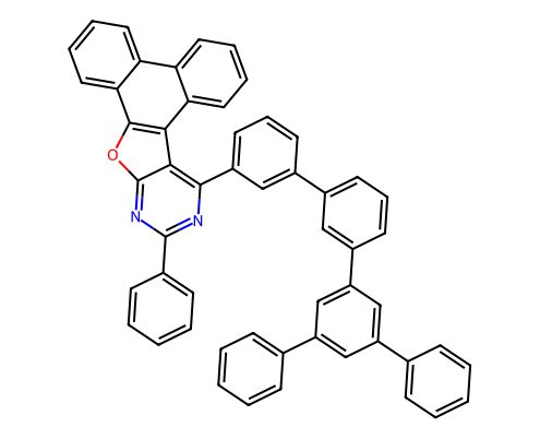 c1ccc(-c2cc(-c3ccccc3)cc(-c3cccc(-c4cccc(-c5nc(-c6ccccc6)nc6oc7c8ccccc8c8ccccc8c7c56)c4)c3)c2)cc1